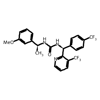 COc1cccc([C@H](C)NC(=O)N[C@@H](c2ccc(C(F)(F)F)cc2)c2ncccc2C(F)(F)F)c1